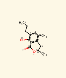 CCCc1cc(C)c2c(c1O)C(=O)O[C@H](C)C2